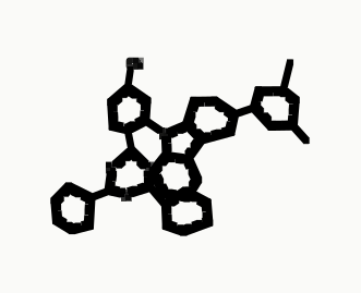 Cc1cc(C)cc(-c2ccc3c(c2)c2ccccc2n3-c2cc(C#N)ccc2-c2nc(-c3ccccc3)nc(-c3ccccc3)n2)c1